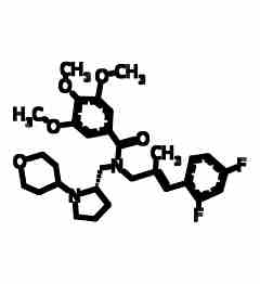 COc1cc(C(=O)N(C/C(C)=C/c2ccc(F)cc2F)C[C@@H]2CCCN2C2CCOCC2)cc(OC)c1OC